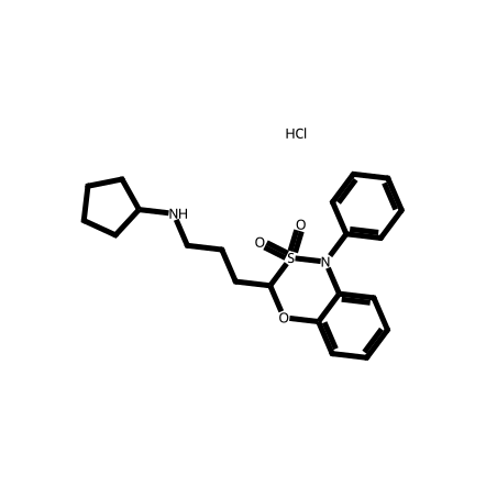 Cl.O=S1(=O)C(CCCNC2CCCC2)Oc2ccccc2N1c1ccccc1